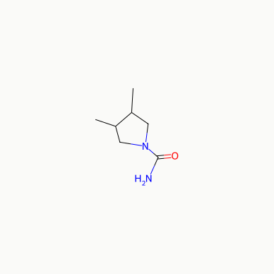 CC1CN(C(N)=O)CC1C